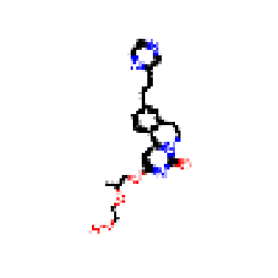 CC(COc1cc2n(c(=O)n1)CCc1cc(CCc3cnccn3)ccc1-2)OCCO